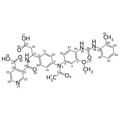 COc1cc(N(C(C)=O)c2ccc(C(CC(=O)O)NC(=O)c3cnccc3C(=O)O)cc2)ccc1NC(=O)Nc1ccccc1C